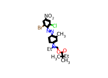 CCN(COC(=O)C(C)(C)CC)c1ccc(/N=N/c2c(Cl)cc([N+](=O)[O-])cc2Br)c(C)c1